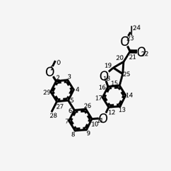 COc1ccc(-c2cccc(Oc3ccc4c(c3)OC3C(C(=O)OI)C43)c2)c(C)c1